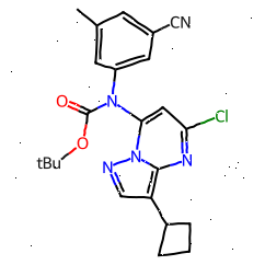 Cc1cc(C#N)cc(N(C(=O)OC(C)(C)C)c2cc(Cl)nc3c(C4CCC4)cnn23)c1